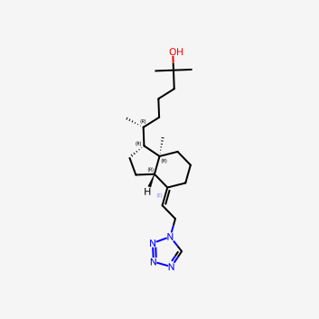 C[C@H](CCCC(C)(C)O)[C@H]1CC[C@H]2/C(=C/Cn3cnnn3)CCC[C@]12C